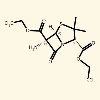 CC1(C)S[C@H]2N(C(=O)[C@@]2(N)C(=O)OCC(Cl)(Cl)Cl)[C@H]1C(=O)OCC(Cl)(Cl)Cl